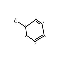 ClC1[C]=C[C]=CC1